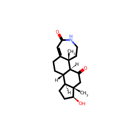 C[C@]12CC(=O)[C@H]3[C@@H](CCC4=CC(=O)NCC[C@@]43C)[C@@H]1CC[C@@H]2O